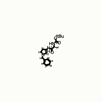 C[C@H](NC(=O)OC(C)(C)C)C(=O)NC1CCN(Cc2ccccc2)C1